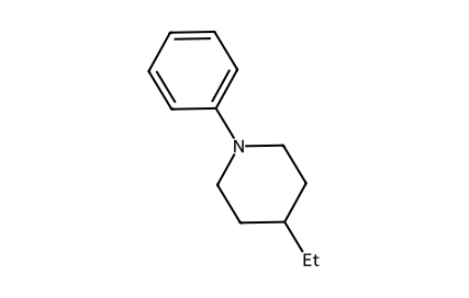 CCC1CCN(c2ccccc2)CC1